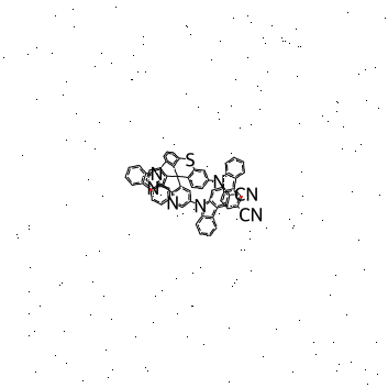 N#Cc1ccc2c(c1)c1ccccc1n2-c1ccc2c(c1)Sc1cccc(-n3c4ccccc4c4ccccc43)c1C21c2cccnc2-c2ncc(-n3c4ccccc4c4cc(C#N)ccc43)cc21